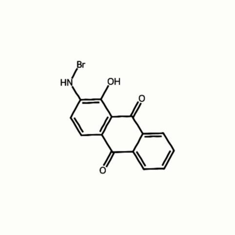 O=C1c2ccccc2C(=O)c2c1ccc(NBr)c2O